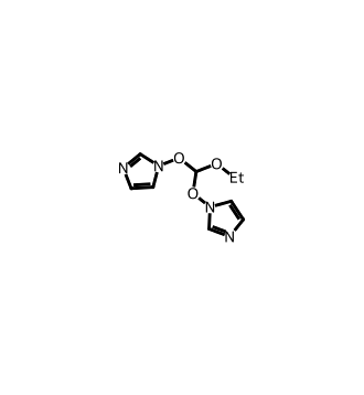 CCOC(On1ccnc1)On1ccnc1